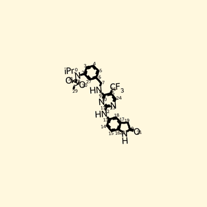 CC(C)N(c1cccc(CNc2nc(Nc3ccc4c(c3)CC(=O)N4)ncc2C(F)(F)F)c1)S(C)(=O)=O